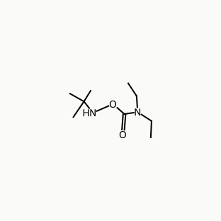 CCN(CC)C(=O)ONC(C)(C)C